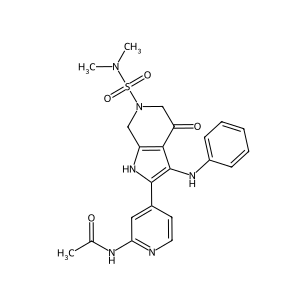 CC(=O)Nc1cc(-c2[nH]c3c(c2Nc2ccccc2)C(=O)CN(S(=O)(=O)N(C)C)C3)ccn1